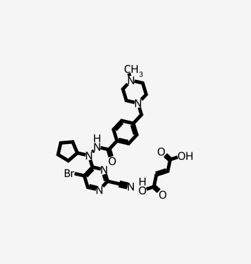 CN1CCN(Cc2ccc(C(=O)NN(c3nc(C#N)ncc3Br)C3CCCC3)cc2)CC1.O=C(O)/C=C/C(=O)O